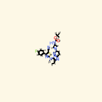 CCc1nc2ccc(N3CC(NC(=O)OC(C)(C)C)C3)nn2c1N(C)c1nc(-c2ccc(F)cc2)c(C#N)s1